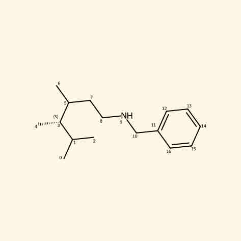 CC(C)[C@H](C)C(C)CCNCc1ccccc1